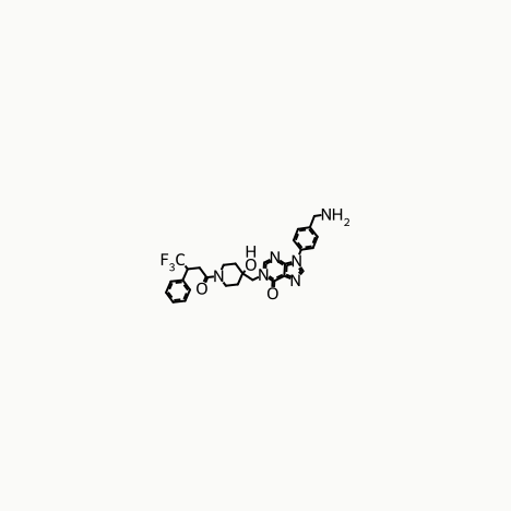 NCc1ccc(-n2cnc3c(=O)n(CC4(O)CCN(C(=O)CC(c5ccccc5)C(F)(F)F)CC4)cnc32)cc1